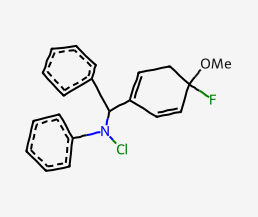 COC1(F)C=CC(C(c2ccccc2)N(Cl)c2ccccc2)=CC1